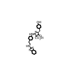 CCOC(=O)N1C(=O)[C@H](Cc2ccc(O)cc2)N=C1Nc1ccc(CCNc2nc3ccccc3s2)cc1